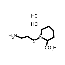 Cl.Cl.NCCSN1CCCCC1C(=O)O